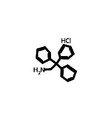 Cl.NCC(c1ccccc1)(c1ccccc1)c1ccccc1